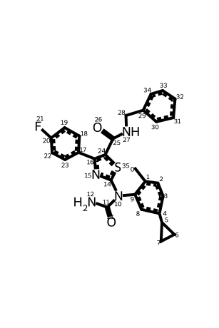 Cc1ccc(C2CC2)cc1N(C(N)=O)c1nc(-c2ccc(F)cc2)c(C(=O)NCc2ccccc2)s1